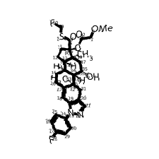 COCC(=O)O[C@]1(C(=O)SCF)CC[C@H]2[C@@H]3CCC4=Cc5c(cnn5-c5ccc(F)cc5)C[C@]4(C)[C@H]3[C@@H](O)C[C@@]21C